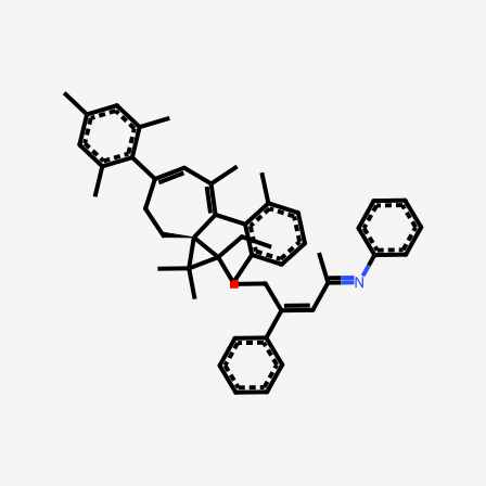 CCC1(CC/C(=C\C(C)=N\c2ccccc2)c2ccccc2)C(C)(C)[C@@]12CCC(c1c(C)cc(C)cc1C)=CC(C)=C2c1c(C)cccc1C